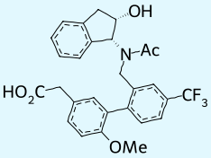 COc1ccc(CC(=O)O)cc1-c1ccc(C(F)(F)F)cc1CN(C(C)=O)[C@@H]1c2ccccc2C[C@@H]1O